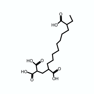 CCC(CCCCCCCCC(CC(C(=O)O)C(=O)O)C(=O)O)C(=O)O